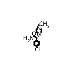 CCN1CCN(C[C@@H](C(N)=O)c2ccc(Cl)cc2)CC1